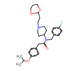 CC(C)Oc1ccc(CC(=O)N(Cc2ccc(F)cc2)C2CCN(CCC3OCCCO3)CC2)cc1